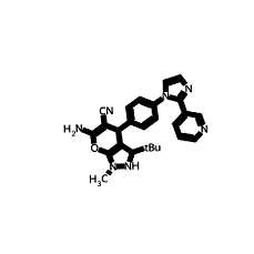 CN1NC(C(C)(C)C)C2=C1OC(N)=C(C#N)C2c1ccc(-n2ccnc2-c2cccnc2)cc1